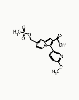 COc1ccc(-c2c(C(=O)O)cc3cc(COS(C)(=O)=O)ccn23)cn1